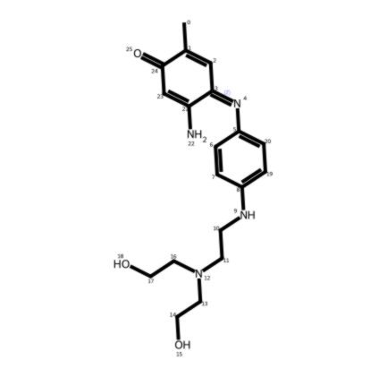 CC1=C/C(=N/c2ccc(NCCN(CCO)CCO)cc2)C(N)=CC1=O